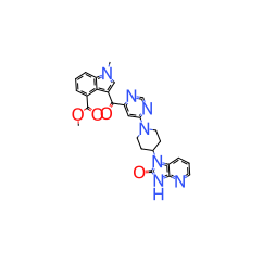 COC(=O)c1cccc2c1c(C(=O)c1cc(N3CCC(n4c(=O)[nH]c5ncccc54)CC3)ncn1)cn2C